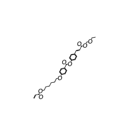 C=CC(=O)OCCCCCCOc1ccc(C(=O)Oc2ccc(/C=C/C(=O)OCOCC)cc2)cc1